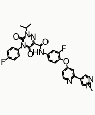 CC(C)n1nc(C(=O)Nc2ccc(Oc3ccnc(-c4cnn(C)c4)c3)c(F)c2)c(=O)n(-c2ccc(F)cc2)c1=O